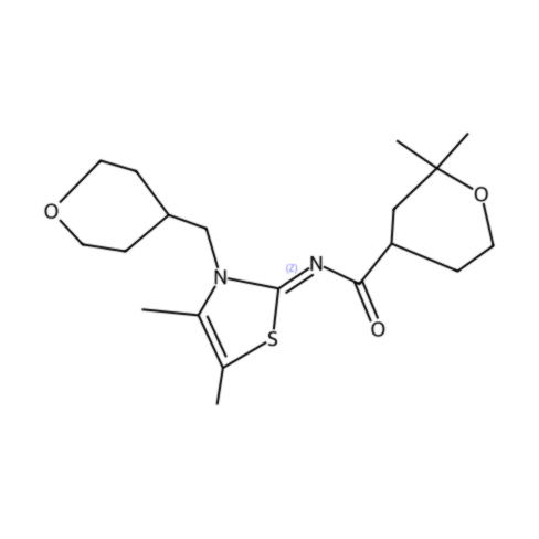 Cc1s/c(=N\C(=O)C2CCOC(C)(C)C2)n(CC2CCOCC2)c1C